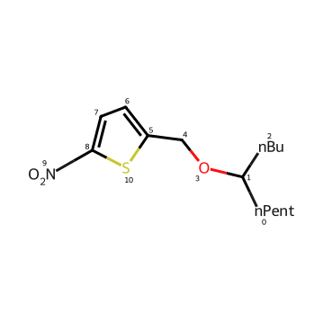 CCCCCC(CCCC)OCc1ccc([N+](=O)[O-])s1